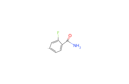 NC(=O)c1cc[c]cc1F